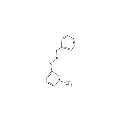 FC(F)(F)c1cccc(SSCc2ccccc2)c1